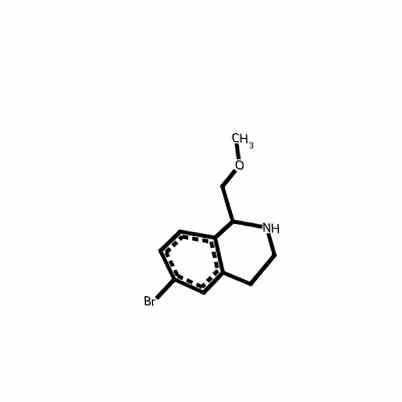 COCC1NCCc2cc(Br)ccc21